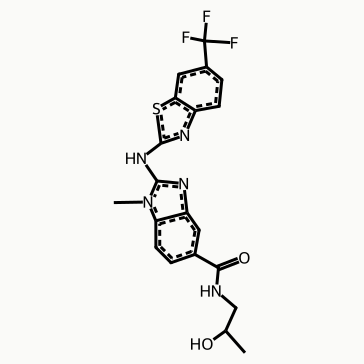 CC(O)CNC(=O)c1ccc2c(c1)nc(Nc1nc3ccc(C(F)(F)F)cc3s1)n2C